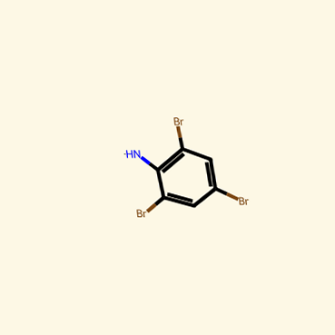 [NH]c1c(Br)cc(Br)cc1Br